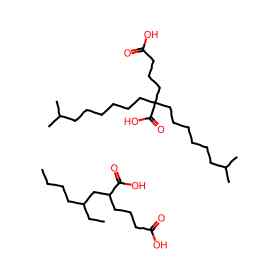 CC(C)CCCCCCC(CCCCCCC(C)C)(CCCC(=O)O)C(=O)O.CCCCC(CC)CC(CCCC(=O)O)C(=O)O